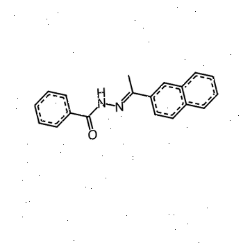 CC(=NNC(=O)c1ccccc1)c1ccc2ccccc2c1